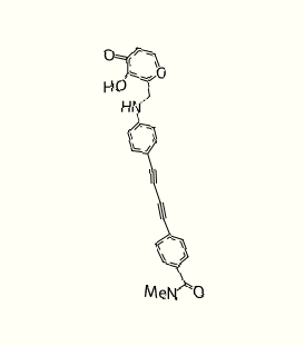 CNC(=O)c1ccc(C#CC#Cc2ccc(NCc3occc(=O)c3O)cc2)cc1